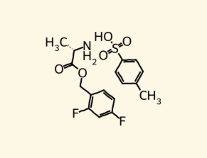 C[C@H](N)C(=O)OCc1ccc(F)cc1F.Cc1ccc(S(=O)(=O)O)cc1